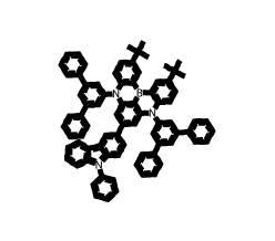 CC(C)(C)c1ccc2c(c1)B1c3cc(C(C)(C)C)ccc3N(c3cc(-c4ccccc4)cc(-c4ccccc4)c3)c3cc(-c4ccc5c(c4)c4ccccc4n5-c4ccccc4)cc(c31)N2c1cc(-c2ccccc2)cc(-c2ccccc2)c1